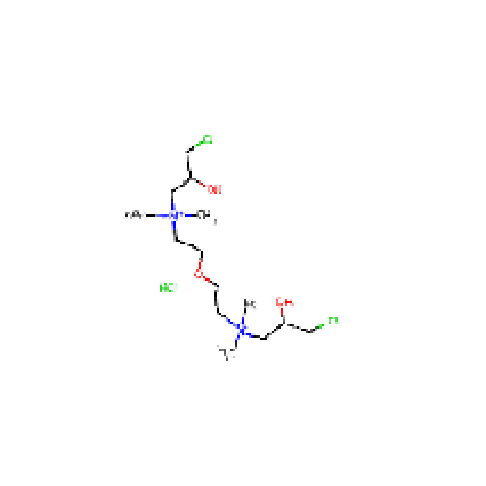 CCC[N+](C)(CCOCC[N+](C)(CC)CC(O)CCl)CC(O)CCl.Cl